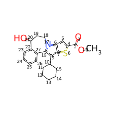 COC(=O)c1cc2c(s1)c(C1CCCCC1)c1n2CCC(O)c2ccccc2-1